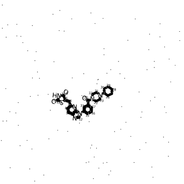 O=C1NC(=O)/C(=C/c2ccc3ncn(-c4cccc(C(=O)N5CCN(C6CCCCC6)CC5)c4)c3n2)S1